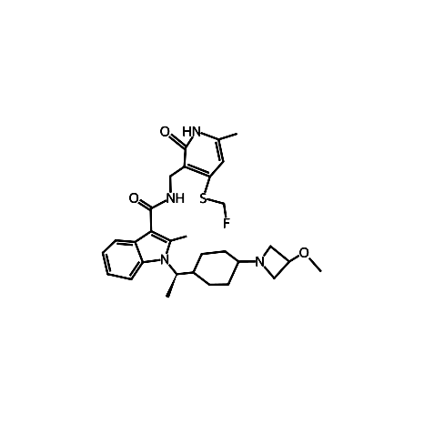 COC1CN(C2CCC([C@@H](C)n3c(C)c(C(=O)NCc4c(SCF)cc(C)[nH]c4=O)c4ccccc43)CC2)C1